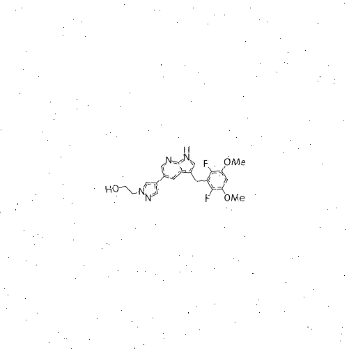 COc1cc(OC)c(F)c(Cc2c[nH]c3ncc(-c4cnn(CCO)c4)cc23)c1F